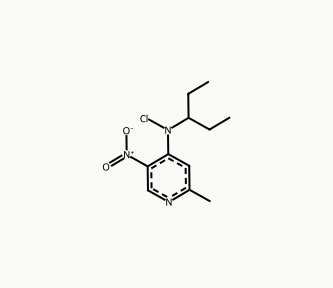 CCC(CC)N(Cl)c1cc(C)ncc1[N+](=O)[O-]